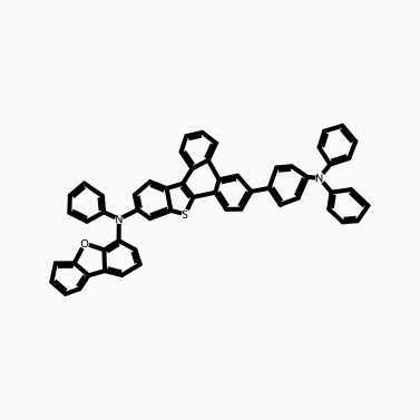 c1ccc(N(c2ccccc2)c2ccc(-c3ccc4c(c3)c3ccccc3c3c5ccc(N(c6ccccc6)c6cccc7c6oc6ccccc67)cc5sc43)cc2)cc1